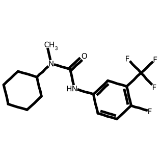 CN(C(=O)Nc1ccc(F)c(C(F)(F)F)c1)C1CCCCC1